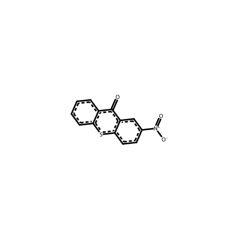 O=c1c2ccccc2sc2ccc([N+](=O)[O-])cc12